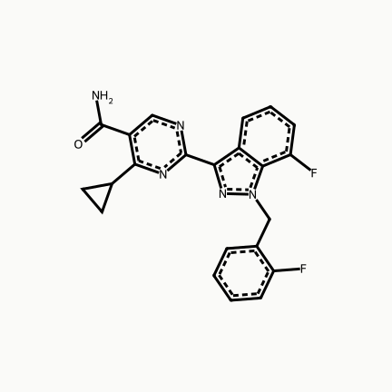 NC(=O)c1cnc(-c2nn(Cc3ccccc3F)c3c(F)cccc23)nc1C1CC1